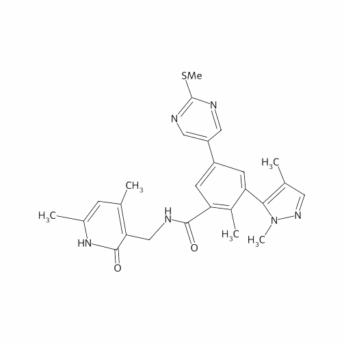 CSc1ncc(-c2cc(C(=O)NCc3c(C)cc(C)[nH]c3=O)c(C)c(-c3c(C)cnn3C)c2)cn1